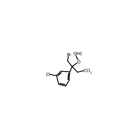 O=COC(CBr)(CC(Cl)(Cl)Cl)c1cccc(Cl)c1